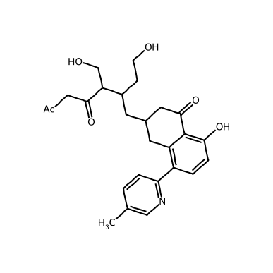 CC(=O)CC(=O)C(CO)C(CCO)CC1CC(=O)c2c(O)ccc(-c3ccc(C)cn3)c2C1